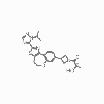 CC(C)n1ncnc1-c1nc2c(s1)CCOc1cc(C3CN(C(=O)[C@@H](C)O)C3)ccc1-2